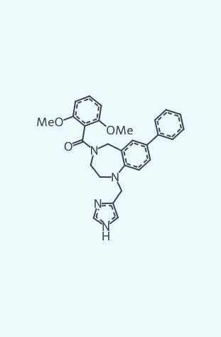 COc1cccc(OC)c1C(=O)N1CCN(Cc2c[nH]cn2)c2ccc(-c3ccccc3)cc2C1